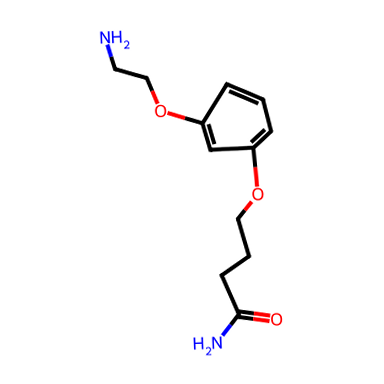 NCCOc1cccc(OCCCC(N)=O)c1